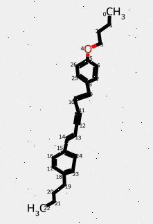 CCCCOc1ccc(/C=C/C#C/C=C/c2ccc(CCCC)cc2)cc1